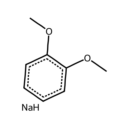 COc1ccccc1OC.[NaH]